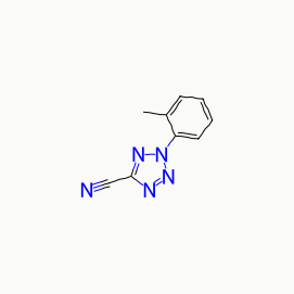 Cc1ccccc1-n1nnc(C#N)n1